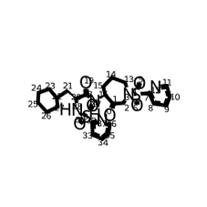 O=C1CN(S(=O)(=O)c2ccccn2)CCC[C@@H]1NC(=O)[C@H](CC1CCCCC1)NS(=O)(=O)c1ccccn1